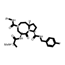 CN[C@@H](C)C(=O)N[C@H]1CN(C(=O)NC(C)C)CC[C@H]2CC[C@@H](C(=O)NCc3ccc(F)cc3)N2C1=O